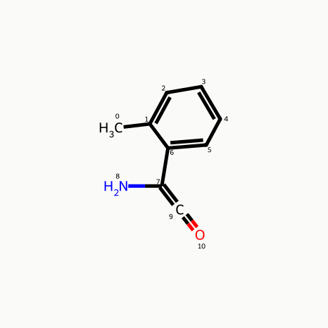 Cc1ccccc1C(N)=C=O